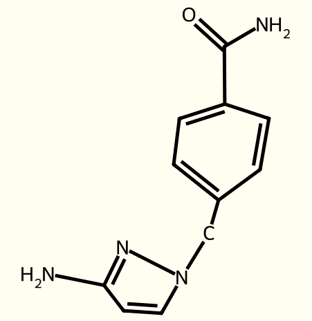 NC(=O)c1ccc(Cn2ccc(N)n2)cc1